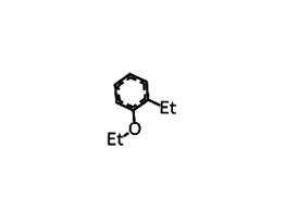 [CH2]COc1ccccc1C[CH2]